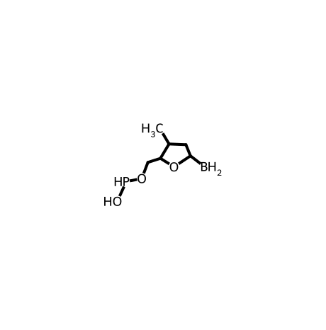 BC1CC(C)C(COPO)O1